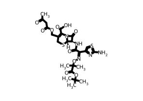 CC(=O)CC(=O)OCC1=C(C(=O)O)N2C(=O)[C@@H](NC(=O)/C(=N\OC(C)(C)C(=O)OC(C)(C)C)c3csc(N)n3)[C@@H]2SC1